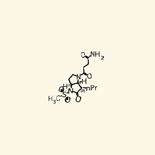 CCC[C@H]1C(=O)N(S(C)(=O)=O)[C@H]2CCN(C(=O)CCC(N)=O)[C@H]12